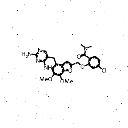 COc1cc(Cc2cnc(N)nc2N)c2cc(COc3cc(Cl)ccc3C(=O)N(C)C)oc2c1OC